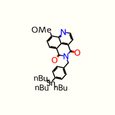 CCC[CH2][Sn]([CH2]CCC)([CH2]CCC)[c]1ccc(CN2C(=O)c3ccnc4c(OC)ccc(c34)C2=O)cc1